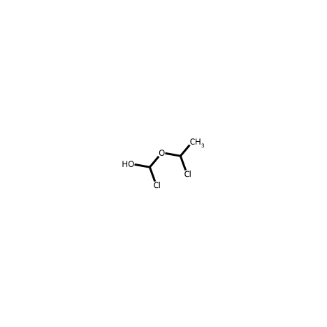 CC(Cl)OC(O)Cl